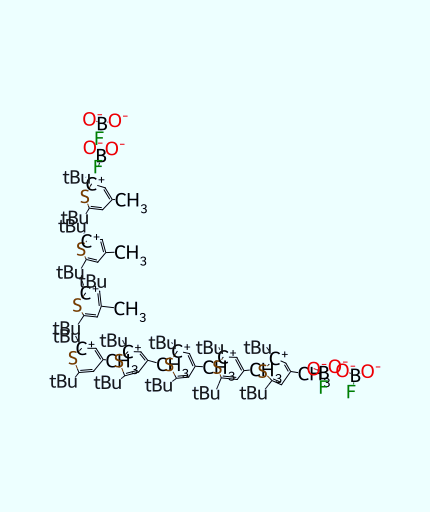 Cc1cc(C(C)(C)C)s[c+](C(C)(C)C)c1.Cc1cc(C(C)(C)C)s[c+](C(C)(C)C)c1.Cc1cc(C(C)(C)C)s[c+](C(C)(C)C)c1.Cc1cc(C(C)(C)C)s[c+](C(C)(C)C)c1.Cc1cc(C(C)(C)C)s[c+](C(C)(C)C)c1.Cc1cc(C(C)(C)C)s[c+](C(C)(C)C)c1.Cc1cc(C(C)(C)C)s[c+](C(C)(C)C)c1.Cc1cc(C(C)(C)C)s[c+](C(C)(C)C)c1.[O-]B([O-])F.[O-]B([O-])F.[O-]B([O-])F.[O-]B([O-])F